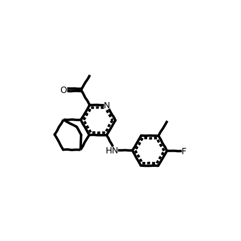 CC(=O)c1ncc(Nc2ccc(F)c(C)c2)c2c1C1CCC2CC1